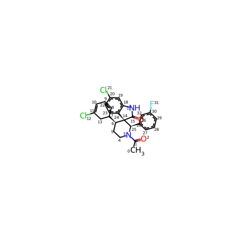 CC(=O)N1CC[C@@H](C2C=CC=C(Cl)C2)[C@]2(C(=O)Nc3cc(Cl)ccc32)[C@H]1c1cccc(F)c1